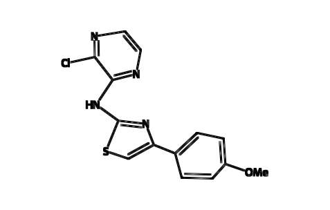 COc1ccc(-c2csc(Nc3nccnc3Cl)n2)cc1